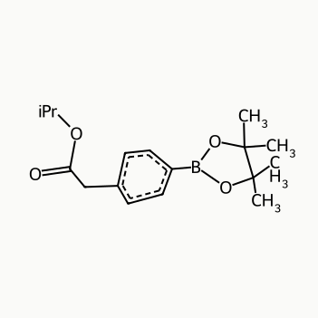 CC(C)OC(=O)Cc1ccc(B2OC(C)(C)C(C)(C)O2)cc1